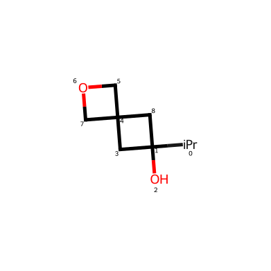 CC(C)C1(O)CC2(COC2)C1